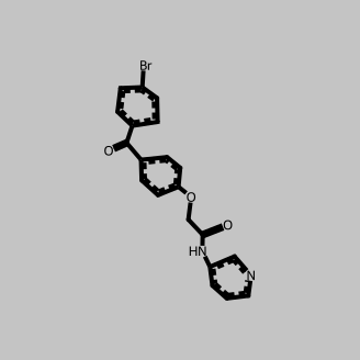 O=C(COc1ccc(C(=O)c2ccc(Br)cc2)cc1)Nc1cccnc1